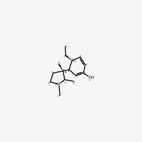 CC[C@H]1C=CC(O)=CC1[C@@]1(C)CCN(C)C1C